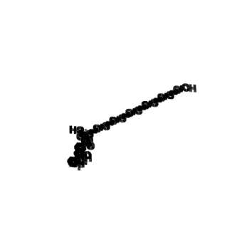 C[C@@](OCCOCCOCCOCCOCCOCCOCCOCCOCCOCCOCCOCCO)(C(=O)O)C1CN(c2ccc3cc(-c4ccccc4C(F)(F)F)[nH]c(=O)c3c2)C(=O)O1